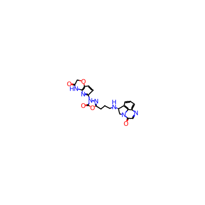 O=C1COc2ccc(-n3nc(CCCN[C@@H]4Cn5c(=O)cnc6cccc4c65)oc3=O)nc2N1